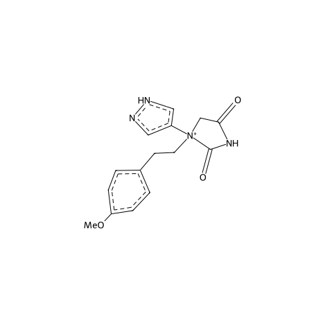 COc1ccc(CC[N+]2(c3cn[nH]c3)CC(=O)NC2=O)cc1